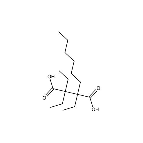 CCCCCCC(CC)(C(=O)O)C(CC)(CC)C(=O)O